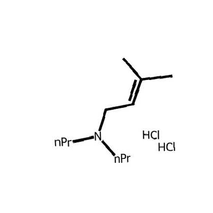 CCCN(CC=C(C)C)CCC.Cl.Cl